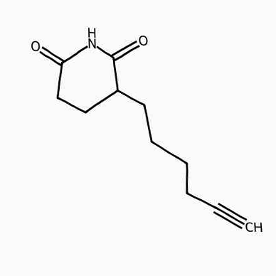 C#CCCCCC1CCC(=O)NC1=O